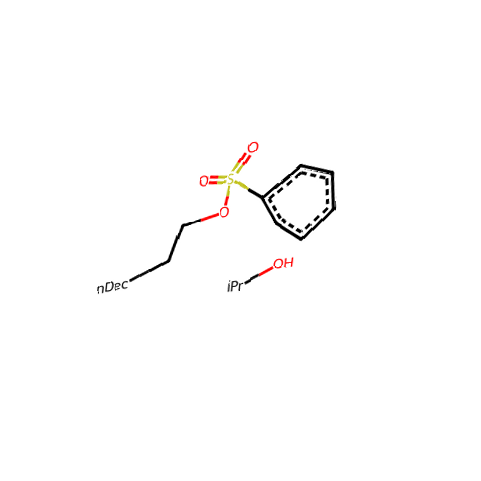 CC(C)O.CCCCCCCCCCCCOS(=O)(=O)c1ccccc1